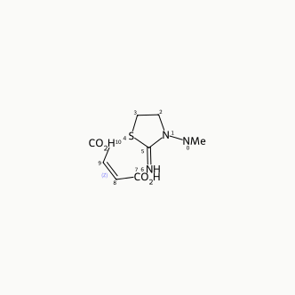 CNN1CCSC1=N.O=C(O)/C=C\C(=O)O